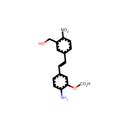 Nc1ccc(C=Cc2ccc([N+](=O)[O-])c(CO)c2)cc1OC(=O)O